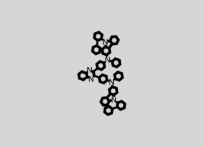 c1ccc(-c2ccccc2-n2c3ccccc3c3cc(N(c4ccccc4)c4ccc(-c5nc6ccccc6nc5-c5ccc(N(c6ccccc6)c6ccc7c(c6)c6ccccc6n7-c6ccccc6-c6ccccc6)cc5)cc4)ccc32)cc1